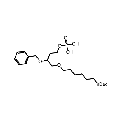 CCCCCCCCCCCCCCCCOCC(CCOP(=O)(O)O)OCc1ccccc1